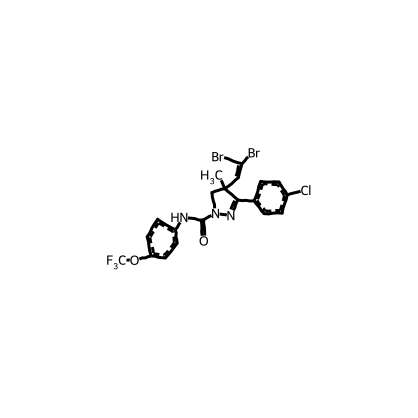 CC1(C=C(Br)Br)CN(C(=O)Nc2ccc(OC(F)(F)F)cc2)N=C1c1ccc(Cl)cc1